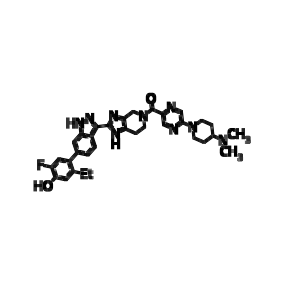 CCc1cc(O)c(F)cc1-c1ccc2c(-c3nc4c([nH]3)CCN(C(=O)c3cnc(N5CCC(N(C)C)CC5)cn3)C4)n[nH]c2c1